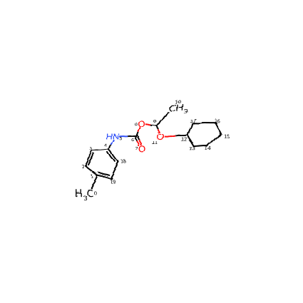 Cc1ccc(NC(=O)OC(C)OC2CCCCC2)cc1